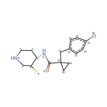 O=C(N[C@H]1CCNC[C@@H]1F)C1(Cc2ccc(Cl)cc2)CC1